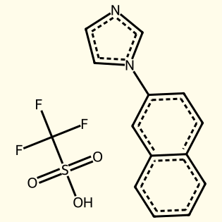 O=S(=O)(O)C(F)(F)F.c1ccc2cc(-n3ccnc3)ccc2c1